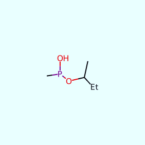 CCC(C)OP(C)O